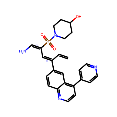 C=C/C(=C\C(=C/N)S(=O)(=O)N1CCC(O)CC1)c1ccc2nccc(-c3ccncc3)c2c1